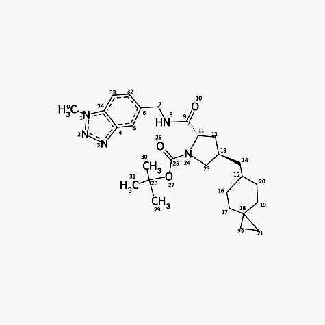 Cn1nnc2cc(CNC(=O)[C@@H]3C[C@@H](CC4CCC5(CC4)CC5)CN3C(=O)OC(C)(C)C)ccc21